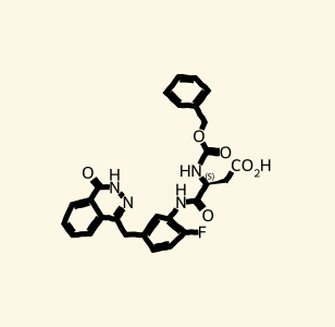 O=C(O)C[C@H](NC(=O)OCc1ccccc1)C(=O)Nc1cc(Cc2n[nH]c(=O)c3ccccc23)ccc1F